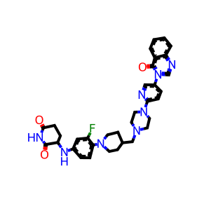 O=C1CCC(Nc2ccc(N3CCC(CN4CCN(c5ccc(-n6cnc7ccccc7c6=O)cn5)CC4)CC3)c(F)c2)C(=O)N1